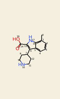 Cc1cccc2c(C3CCNCC3)c(C(=O)O)[nH]c12